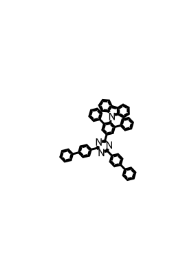 c1ccc(-c2ccc(-c3nc(-c4ccc(-c5ccccc5)cc4)nc(-c4cc(-c5ccccc5)c(-n5c6ccccc6c6ccccc65)c(-c5ccccc5)c4)n3)cc2)cc1